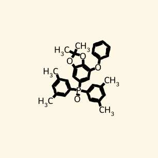 Cc1cc(C)cc(P(=O)(c2cc(C)cc(C)c2)c2cc(Oc3ccccc3)c3c(c2)OC(C)(C)O3)c1